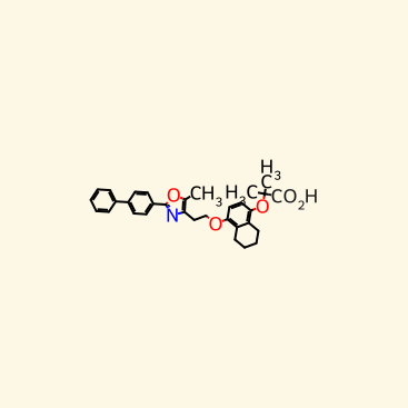 Cc1oc(-c2ccc(-c3ccccc3)cc2)nc1CCOc1ccc(OC(C)(C)C(=O)O)c2c1CCCC2